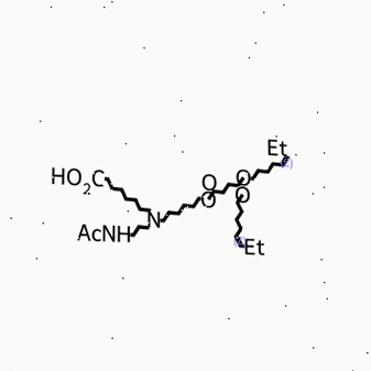 CC/C=C\CCCCOC(CCC(=O)OCCCCCCN(CCCCCCCC(=O)O)CCCNC(C)=O)OCCCC/C=C\CC